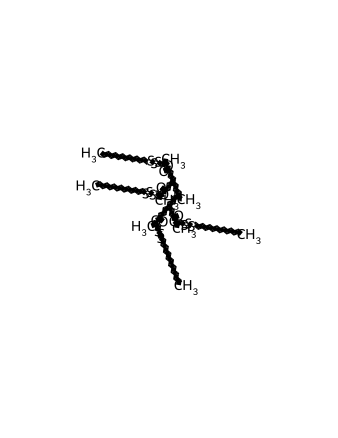 CCCCCCCCCCCCCCSSSCC(C)OC(=O)CC/C=C(/CCCN(C)CC/C=C(/CCCC(=O)OC(C)CSSSCCCCCCCCCCCCCC)CCC(=O)OC(C)CSSSCCCCCCCCCCCCCC)CCC(=O)OC(C)CSSSCCCCCCCCCCCCCC